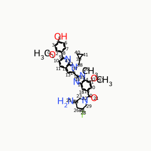 COc1cc(O)ccc1-c1ccc2cc(-c3nc4cc(C(=O)N5C[C@H](N)C[C@@H](F)C5)cc(OC)c4n3C)n(CC3CC3)c2n1